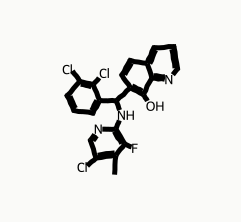 Cc1c(Cl)cnc(NC(c2cccc(Cl)c2Cl)c2ccc3cccnc3c2O)c1F